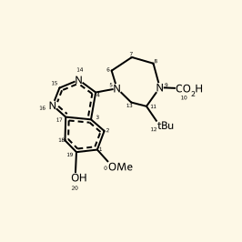 COc1cc2c(N3CCCN(C(=O)O)C(C(C)(C)C)C3)ncnc2cc1O